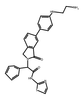 NCCNc1ccc(-c2ccc3c(c2)C(=O)N(C(C(=O)Nc2nccs2)c2ccccc2)C3)cc1